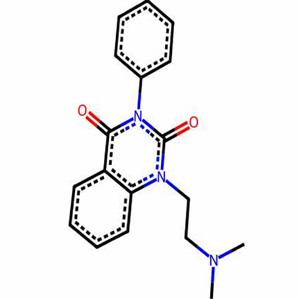 CN(C)CCn1c(=O)n(-c2ccccc2)c(=O)c2ccccc21